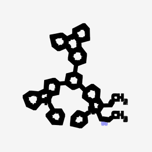 C=Cc1c(/C=C\C)n(-c2ccccc2)c2cc(-c3cc(-c4ccc5c6ccccc6c6ccccc6c5c4)cc(-c4ccc5c6ccccc6n(-c6ccccc6)c5c4)c3)ccc12